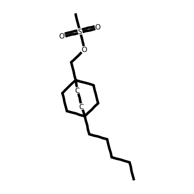 CCCCCC12CCC(COS(C)(=O)=O)(CC1)CC2